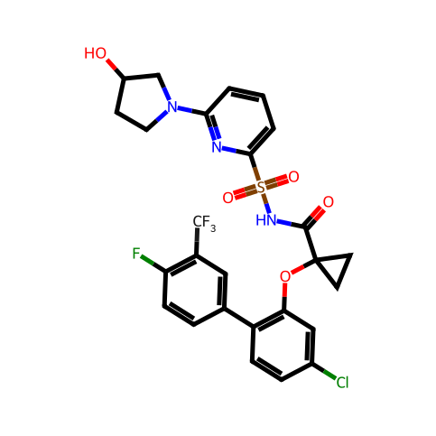 O=C(NS(=O)(=O)c1cccc(N2CCC(O)C2)n1)C1(Oc2cc(Cl)ccc2-c2ccc(F)c(C(F)(F)F)c2)CC1